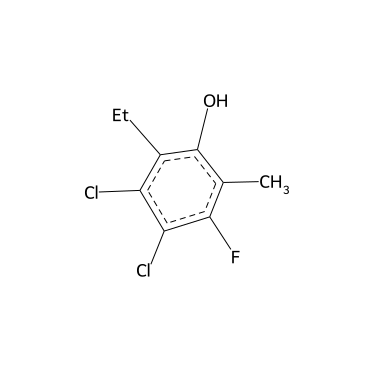 CCc1c(O)c(C)c(F)c(Cl)c1Cl